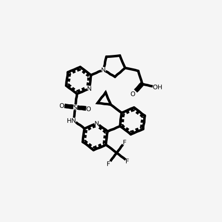 O=C(O)CC1CCN(c2cccc(S(=O)(=O)Nc3ccc(C(F)(F)F)c(-c4ccccc4C4CC4)n3)n2)C1